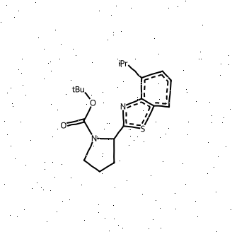 CC(C)c1cccc2sc(C3CCCN3C(=O)OC(C)(C)C)nc12